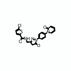 O=C(NCC1=NN(c2ccc(-n3ccccc3=O)cc2)C(=O)C1)c1ccc(Cl)s1